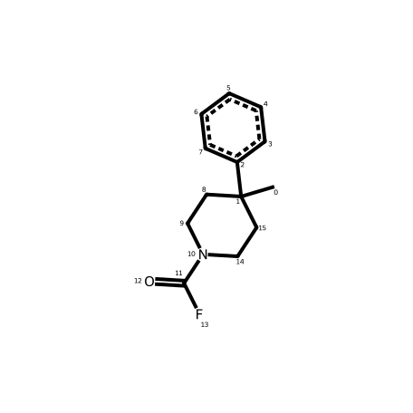 CC1(c2ccccc2)CCN(C(=O)F)CC1